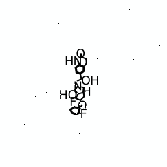 O=C1CCc2cc(C(O)CN3C[C@H]4C[C@H](Oc5c(F)cccc5F)C[C@@]4(O)C3)ccc2N1